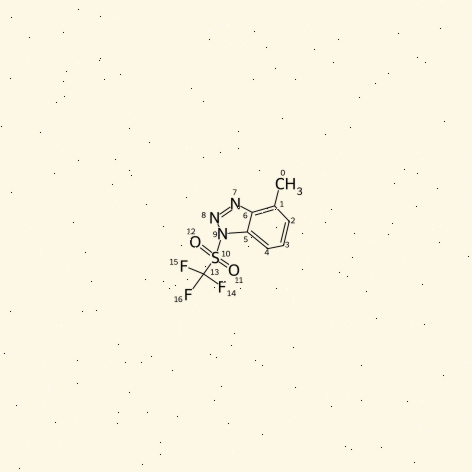 Cc1cccc2c1nnn2S(=O)(=O)C(F)(F)F